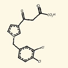 O=C(O)C(=O)CC(=O)c1ccn(Cc2ccc(Cl)c(Cl)c2)c1